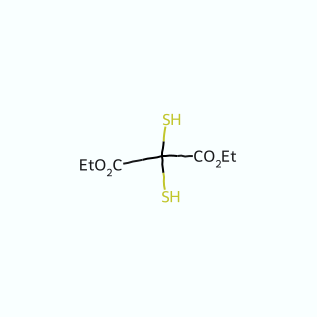 CCOC(=O)C(S)(S)C(=O)OCC